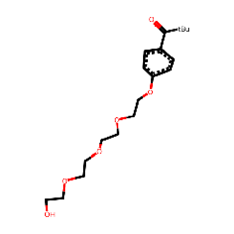 CC(C)(C)C(=O)c1ccc(OCCOCCOCCOCCO)cc1